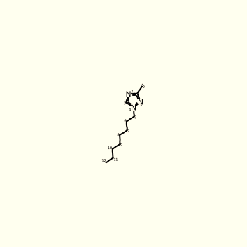 [CH2]c1ncn(CCCCCCCC)n1